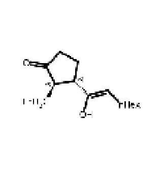 CCCCCCC=C(O)[C@H]1CCC(=O)[C@@H]1C(=O)OCC